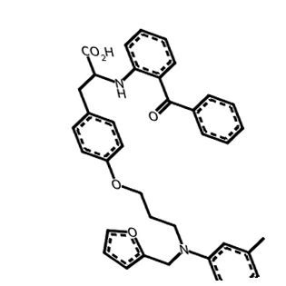 Cc1cccc(N(CCCOc2ccc(CC(Nc3ccccc3C(=O)c3ccccc3)C(=O)O)cc2)Cc2ccco2)c1